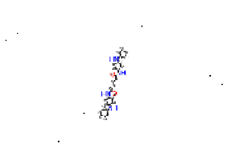 O=C(CCCCC(=O)Nc1ccc(Nc2ccccc2)cc1)Nc1ccc(Nc2ccccc2)cc1